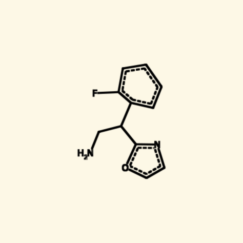 NCC(c1ncco1)c1ccccc1F